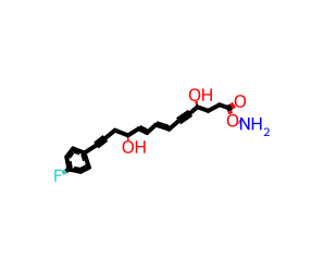 NOC(=O)CC[C@H](O)C#C/C=C/C=C/[C@H](O)CC#Cc1ccc(F)cc1